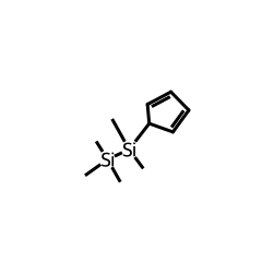 C[Si](C)(C)[Si](C)(C)C1C=CC=C1